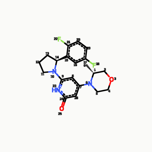 C[C@@H]1COCCN1c1cc(N2CCC[C@H]2c2cc(F)ccc2F)[nH]c(=O)c1